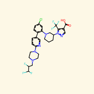 O=C(O)c1cnn(C2CCCN(c3cc(Cl)ccc3-c3ccc(N4CCN(CC(F)C(F)F)CC4)nc3)C2)c1C(F)(F)F